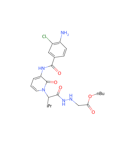 CCCCOC(=O)CNNC(=O)C(C(C)C)n1cccc(NC(=O)c2ccc(N)c(Cl)c2)c1=O